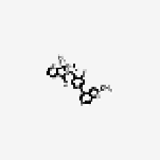 BC1(B)c2ncccc2C(=O)N1Cc1ccc(-c2cncc3nn(C)cc23)cc1F